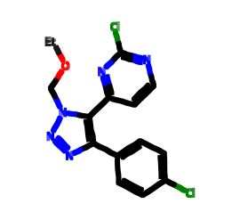 CCOCn1nnc(-c2ccc(Cl)cc2)c1-c1ccnc(Cl)n1